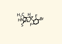 Cc1[nH]c(=S)n2c1[C@@H]1C[C@]1(c1c(F)ccc(Br)c1F)C2